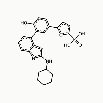 O=P(O)(O)c1ccc(-c2ccc(O)c(-c3cccc4nc(NC5CCCCC5)sc34)c2)o1